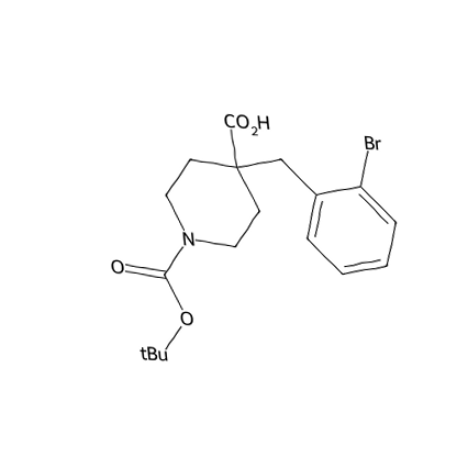 CC(C)(C)OC(=O)N1CCC(Cc2ccccc2Br)(C(=O)O)CC1